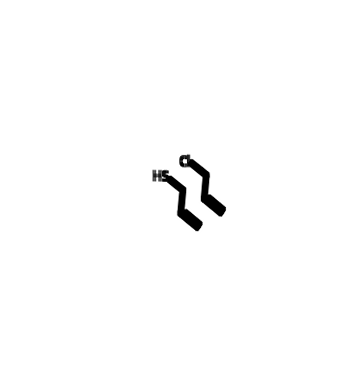 C=CCCl.C=CCS